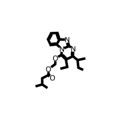 CCc1c(C(C)CC)nc2nc3ccccc3n2c1OCOC(=O)CC(C)C